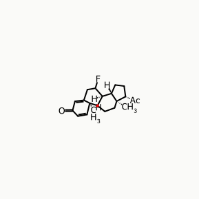 CC(=O)[C@H]1CC[C@H]2[C@@H]3C(F)CC4=CC(=O)C=C[C@]4(C)[C@H]3CC[C@]12C